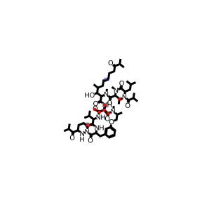 CCC(NC(=O)C(C(O)C(C)C/C=C/CCC(=O)C(C)C)N(C)C(=O)C(C(C)C)N(C)C(=O)C(CC(C)C)N(C)C(=O)C(C)C)C(=O)N(C)C(C)COc1cccc(CC(NC(=O)C(NC(=O)C(C)C)C(C)C)C(=O)N2CCCC(C(=O)C(C)C)N2)c1